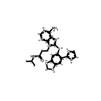 CC(C)NC(=O)CCn1c(Sc2cc3c(cc2-c2ncco2)OCO3)nc2c(N)ncnc21